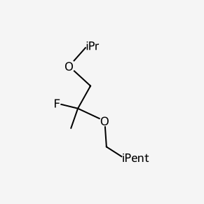 CCCC(C)COC(C)(F)COC(C)C